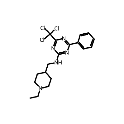 CCN1CCC(CNc2nc(-c3ccccc3)nc(C(Cl)(Cl)Cl)n2)CC1